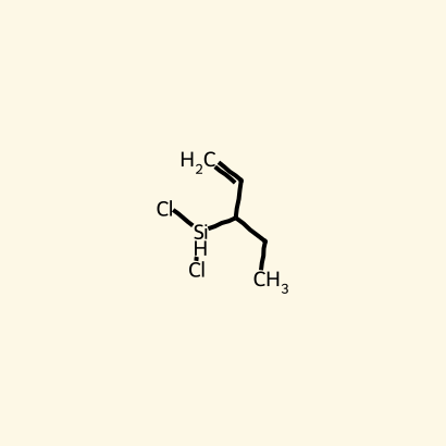 C=CC(CC)[SiH](Cl)Cl